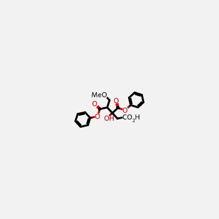 COCC(C(=O)Oc1ccccc1)C(O)(CC(=O)O)C(=O)Oc1ccccc1